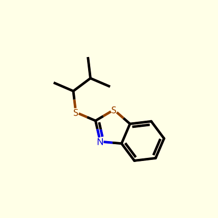 CC(C)C(C)Sc1nc2ccccc2s1